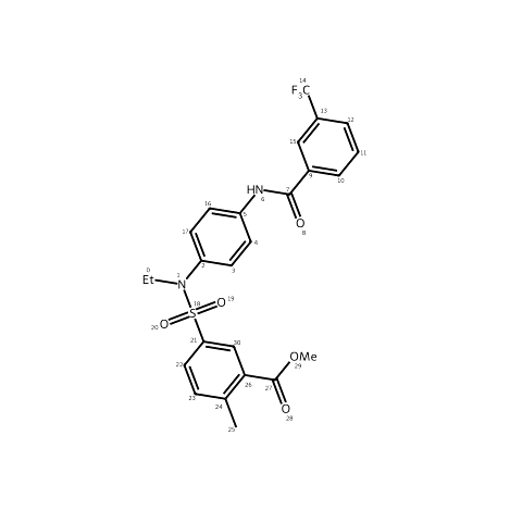 CCN(c1ccc(NC(=O)c2cccc(C(F)(F)F)c2)cc1)S(=O)(=O)c1ccc(C)c(C(=O)OC)c1